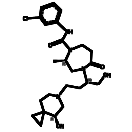 C[C@@H]1CN([C@H](CO)CCN2CCC3(CC3)[C@H](O)C2)C(=O)CCN1C(=O)Nc1cccc(Cl)c1